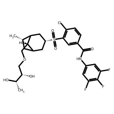 C[C@H](O)[C@@H](O)COC[C@@]1(O)C2C[C@@H](S(=O)(=O)c3cc(C(=O)Nc4cc(F)c(F)c(F)c4)ccc3Cl)CC1[C@@H](C)C2